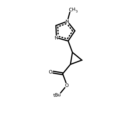 Cn1cnc(C2CC2C(=O)OC(C)(C)C)c1